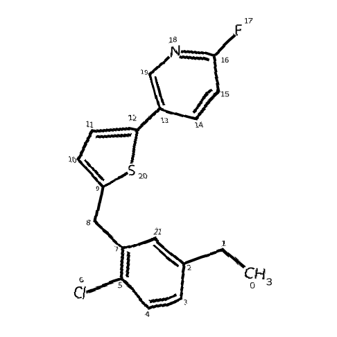 CCc1ccc(Cl)c(Cc2ccc(-c3ccc(F)nc3)s2)c1